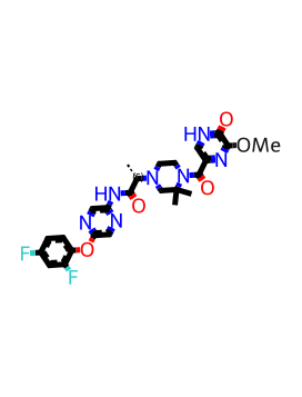 COc1nc(C(=O)N2CCN([C@@H](C)C(=O)Nc3cnc(Oc4ccc(F)cc4F)cn3)CC2(C)C)c[nH]c1=O